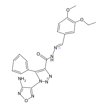 CCOc1cc(/C=N/NC(=O)c2nnn(-c3nonc3N)c2-c2ccccc2)ccc1OC